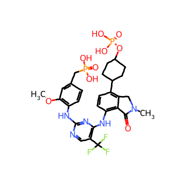 COc1cc(CP(=O)(O)O)ccc1Nc1ncc(C(F)(F)F)c(Nc2ccc(C3CCC(OP(=O)(O)O)CC3)c3c2C(=O)N(C)C3)n1